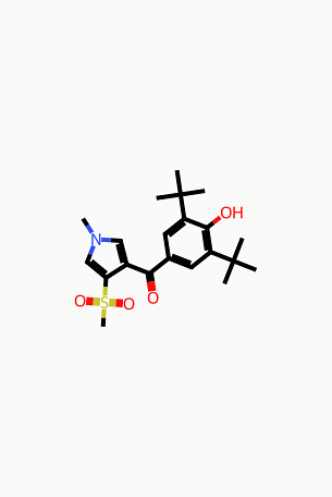 Cn1cc(C(=O)c2cc(C(C)(C)C)c(O)c(C(C)(C)C)c2)c(S(C)(=O)=O)c1